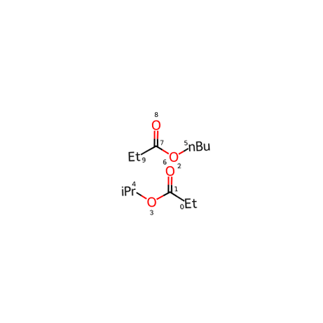 CCC(=O)OC(C)C.CCCCOC(=O)CC